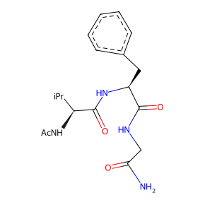 CC(=O)N[C@H](C(=O)N[C@@H](Cc1ccccc1)C(=O)NCC(N)=O)C(C)C